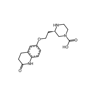 O=C1CCc2cc(OCC[C@@H]3CN(C(=O)O)CCN3)ccc2N1